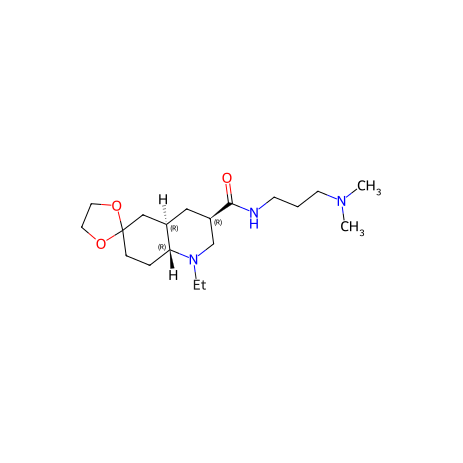 CCN1C[C@H](C(=O)NCCCN(C)C)C[C@@H]2CC3(CC[C@H]21)OCCO3